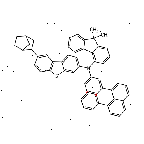 CC1(C)c2ccccc2-c2c(N(c3cccc(-c4cccc5cccc(-c6ccccc6)c45)c3)c3ccc4c(c3)sc3ccc(C5CC6CCC5C6)cc34)cccc21